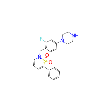 O=S1(=O)C(c2ccccc2)=CC=CN1Cc1ccc(N2CCNCC2)cc1F